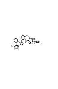 CC(C)(N)C(=O)N[C@@H]1CCc2ccccc2N(Cc2ccc(-c3ccccc3-c3nnn[nH]3)s2)C1=O